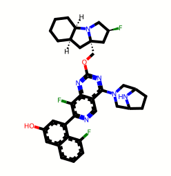 Oc1cc(-c2ncc3c(N4CC5CCC(C4)N5)nc(OC[C@@]45C[C@H](F)CN4[C@@H]4CCCC[C@@H]4C5)nc3c2F)c2c(F)cccc2c1